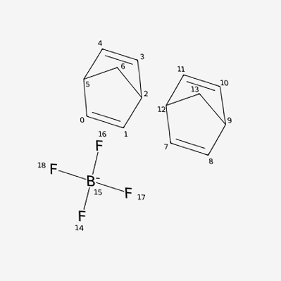 C1=CC2C=CC1C2.C1=CC2C=CC1C2.F[B-](F)(F)F